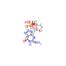 CC[C@]12CCOC(C1OP(=O)(O)O)[C@H](n1cnc3c(=O)[nH]c(N)nc31)O2